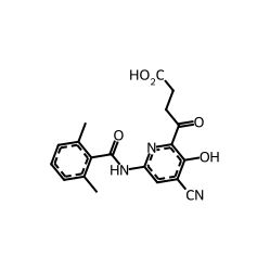 Cc1cccc(C)c1C(=O)Nc1cc(C#N)c(O)c(C(=O)CCC(=O)O)n1